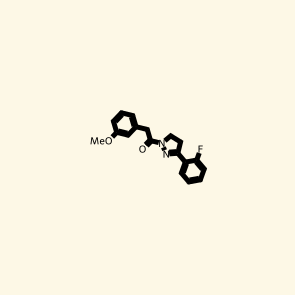 COc1cccc(CC(=O)N2CCC(c3ccccc3F)=N2)c1